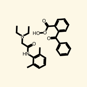 CCN(CC)CC(=O)Nc1c(C)cccc1C.O=C(OO)c1ccccc1C(=O)c1ccccc1